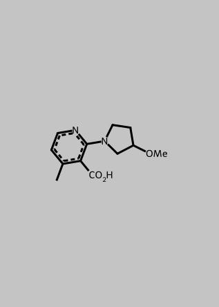 COC1CCN(c2nccc(C)c2C(=O)O)C1